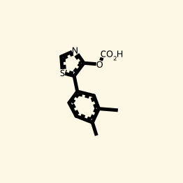 Cc1ccc(-c2scnc2OC(=O)O)cc1C